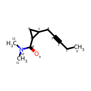 CCC#CCC1CC1C(=O)N(C)C